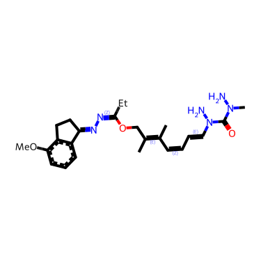 CC/C(=N/N=C1CCc2c(OC)cccc21)OC/C(C)=C(C)/C=C\C=C\N(N)C(=O)N(C)N